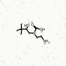 CC(C)(C)C(O)CN(CCN)C(=O)O